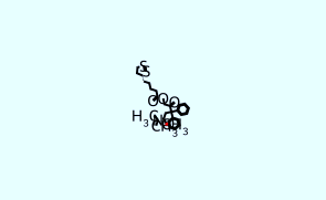 CC(CC(C(=O)COC(=O)CCCC[C@@H]1CCSS1)(c1ccccc1)c1ccccc1)N(C)C